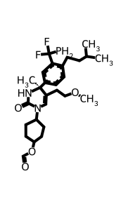 COCCC1=CN(C2CCC(OC=O)CC2)C(=O)N[C@@]1(C)c1ccc(CCC(C)C)c(C(F)(F)P)c1